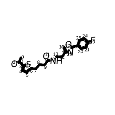 CC(=O)c1ccc(CCCC(=O)NCCc2coc(-c3ccc(F)cc3)n2)s1